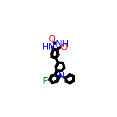 O=c1[nH]c(=O)c2cc(C3=Cc4c(n(-c5ccccc5)c5ccc(F)cc45)CC3)ccc2[nH]1